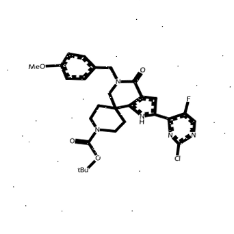 COc1ccc(CN2CC3(CCN(C(=O)OC(C)(C)C)CC3)c3[nH]c(-c4nc(Cl)ncc4F)cc3C2=O)cc1